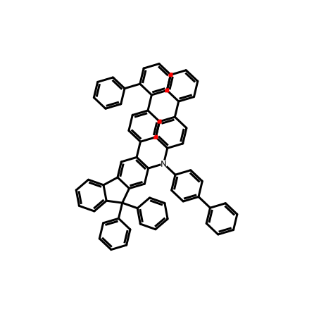 c1ccc(-c2ccc(N(c3ccc(-c4ccccc4)cc3)c3cc4c(cc3-c3ccc(-c5ccccc5-c5ccccc5)cc3)-c3ccccc3C4(c3ccccc3)c3ccccc3)cc2)cc1